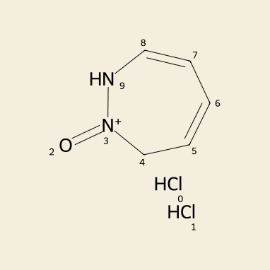 Cl.Cl.O=[N+]1CC=CC=CN1